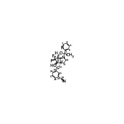 CC(C)(c1ccccn1)N1CC[C@@](CCc2cccc(C#N)c2)([C@@H](O)C(F)(F)F)C1